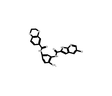 Cc1ccc(NC(=O)c2ccc3c(c2)OCCO3)cc1NC(=O)c1cc2cc(Cl)cnc2[nH]1